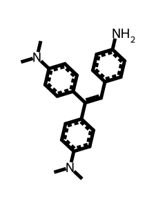 CN(C)c1ccc(C(=Cc2ccc(N)cc2)c2ccc(N(C)C)cc2)cc1